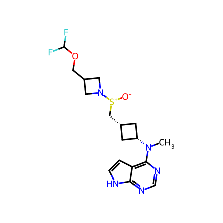 CN(c1ncnc2[nH]ccc12)[C@H]1C[C@@H](C[S+]([O-])N2CC(COC(F)F)C2)C1